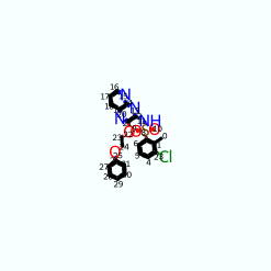 Cc1c(Cl)cccc1S(=O)(=O)Nc1nc2ncccc2nc1OCCOc1ccccc1